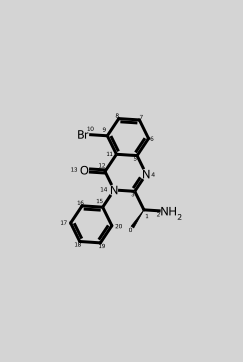 C[C@H](N)c1nc2cccc(Br)c2c(=O)n1-c1ccccc1